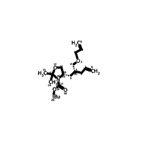 C=CCOC[C@H](CC=C)C[C@H]1COC(C)(C)N1C(=O)OC(C)(C)C